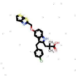 CC(C)(Cc1[nH]c2ccc(OCc3nc4ccsc4s3)cc2c1Cc1ccc(Cl)cc1)C(=O)O